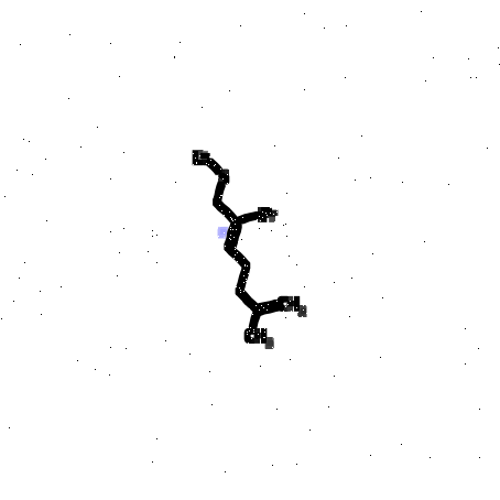 C=C(C)CC/C=C(/CSCC)C(C)C